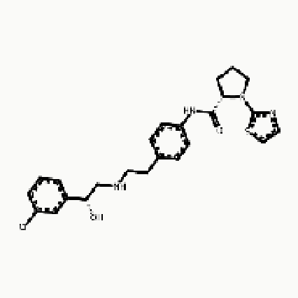 O=C(Nc1ccc(CCNC[C@H](O)c2cccc(Cl)c2)cc1)[C@@H]1CCCN1c1nccs1